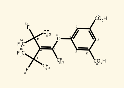 O=C(O)c1cc(OC(=C(C(F)(C(F)(F)F)C(F)(F)F)C(F)(C(F)(F)F)C(F)(F)F)C(F)(F)F)cc(C(=O)O)c1